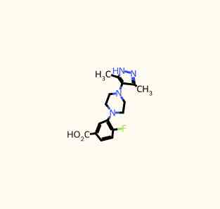 Cc1n[nH]c(C)c1N1CCN(c2cc(C(=O)O)ccc2F)CC1